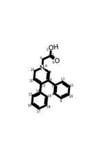 O=C(O)CN1C=C(c2ccccc2)C(c2ccccc2)=CC1